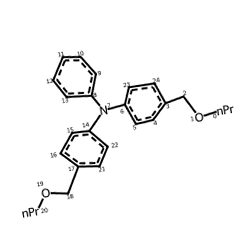 CCCOCc1ccc(N(c2ccccc2)c2ccc(COCCC)cc2)cc1